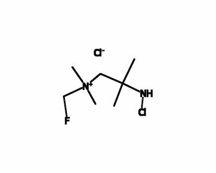 CC(C)(C[N+](C)(C)CF)NCl.[Cl-]